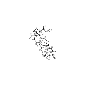 C=C(C=O)[C@@H]1CC[C@]2(CC)CC[C@]3(C)[C@H](CC[C@@H]4[C@@]5(C)C=CC(=O)C(C)(C)[C@@H]5CC[C@]43C)[C@@H]12